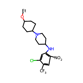 CCOC1CCC(N2CCC(Nc3cc(Cl)c(C(F)(F)F)cc3[N+](=O)[O-])CC2)CC1